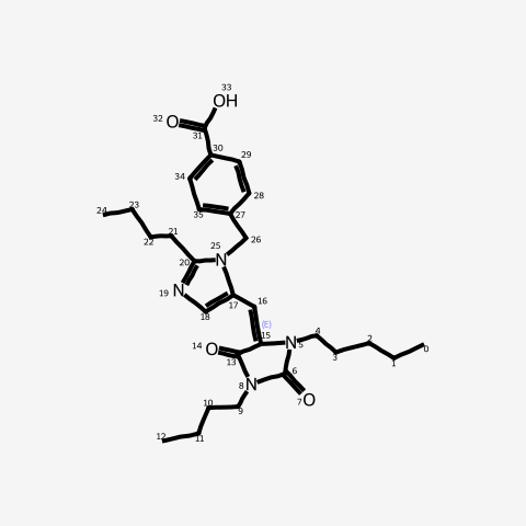 CCCCCN1C(=O)N(CCCC)C(=O)/C1=C\c1cnc(CCCC)n1Cc1ccc(C(=O)O)cc1